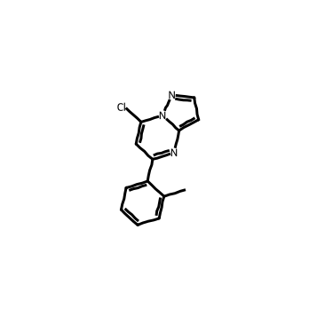 Cc1ccccc1-c1cc(Cl)n2nccc2n1